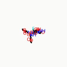 CCOC(=O)CCNP(=O)(NCCC(=O)OCC)OC[C@H]1O[C@@H](n2ccc(=O)[nH]c2=O)[C@H](O)[C@@H]1CF